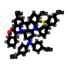 CC(C)(C)c1ccc(N(C2=CCC(C(C)(C)C)C=C2)c2cc3c4c(c2)-n2c5c(cc(C(C)(C)C)cc5c5oc6ccccc6c52)B4c2ccc(C(C)(C)C)cc2N3c2cccc3c2sc2cc(C(C)(C)C)ccc23)cc1